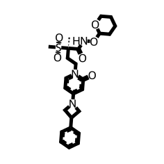 C[C@@](CCn1ccc(N2CC(c3ccccc3)C2)cc1=O)(C(=O)NOC1CCCCO1)S(C)(=O)=O